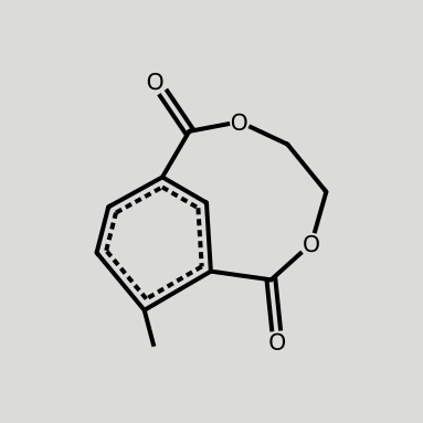 Cc1ccc2cc1C(=O)OCCOC2=O